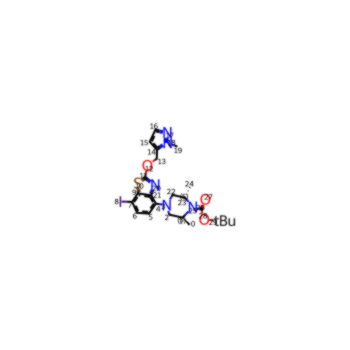 C[C@H]1CN(c2ccc(I)c3sc(OCc4ccnn4C)nc23)C[C@H](C)N1C(=O)OC(C)(C)C